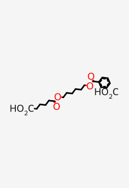 O=C(O)CCCCC(=O)OCCCCCCOC(=O)c1ccccc1C(=O)O